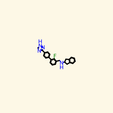 Fc1c(CNC2Cc3ccccc3C2)cccc1-c1ccc(-c2nc[nH]n2)cc1